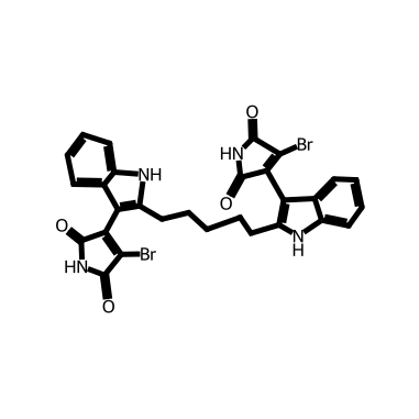 O=C1NC(=O)C(c2c(CCCCCc3[nH]c4ccccc4c3C3=C(Br)C(=O)NC3=O)[nH]c3ccccc23)=C1Br